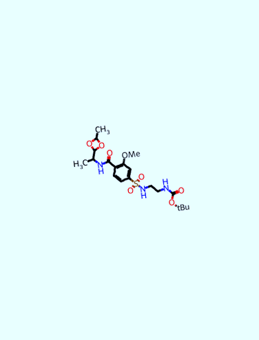 COc1cc(S(=O)(=O)NCCNC(=O)OC(C)(C)C)ccc1C(=O)NC(C)C1OC(C)O1